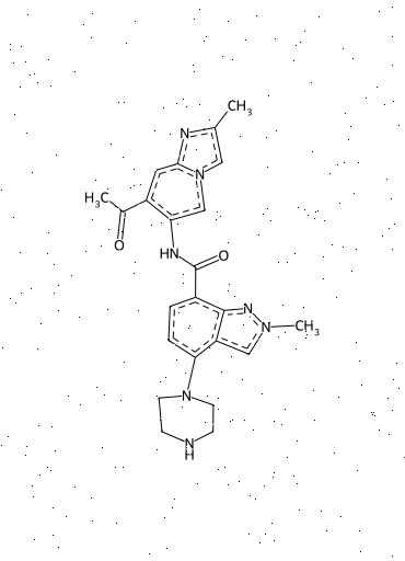 CC(=O)c1cc2nc(C)cn2cc1NC(=O)c1ccc(N2CCNCC2)c2cn(C)nc12